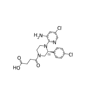 Nc1cc(Cl)cnc1N1CCN(C(=O)CCC(=O)O)C[C@@H]1c1ccc(Cl)cc1